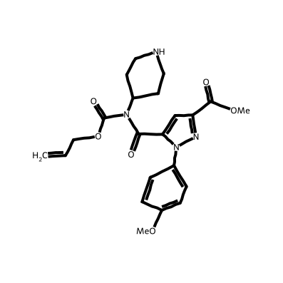 C=CCOC(=O)N(C(=O)c1cc(C(=O)OC)nn1-c1ccc(OC)cc1)C1CCNCC1